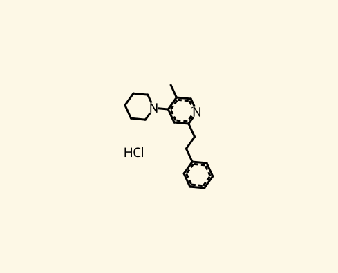 Cc1cnc(CCc2ccccc2)cc1N1CCCCC1.Cl